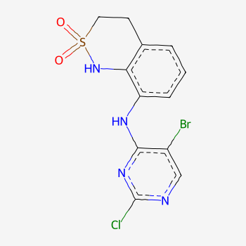 O=S1(=O)CCc2cccc(Nc3nc(Cl)ncc3Br)c2N1